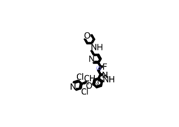 C[C@@H](Oc1ccc2[nH]nc(/C=C(\F)c3ccc(CNC4CCOCC4)nc3)c2c1)c1c(Cl)cncc1Cl